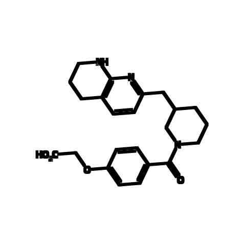 O=C(O)COc1ccc(C(=O)N2CCCC(Cc3ccc4c(n3)NCCC4)C2)cc1